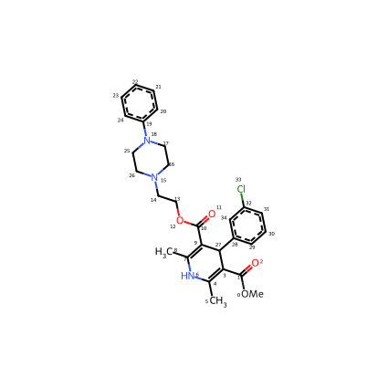 COC(=O)C1=C(C)NC(C)=C(C(=O)OCCN2CCN(c3ccccc3)CC2)C1c1cccc(Cl)c1